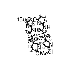 CC(C)(C(=O)Nc1cccc(C(F)(F)F)n1)S(=O)(=O)c1ccc(Cl)nc1.COc1ccc(S(=O)(=O)C(C)(C)C(=O)Nc2nc(C(C)(C)C)cs2)cn1